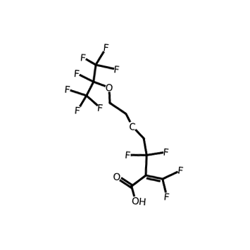 O=C(O)C(=C(F)F)C(F)(F)CCCCOC(F)(C(F)(F)F)C(F)(F)F